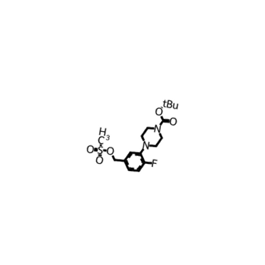 CC(C)(C)OC(=O)N1CCN(c2cc(COS(C)(=O)=O)ccc2F)CC1